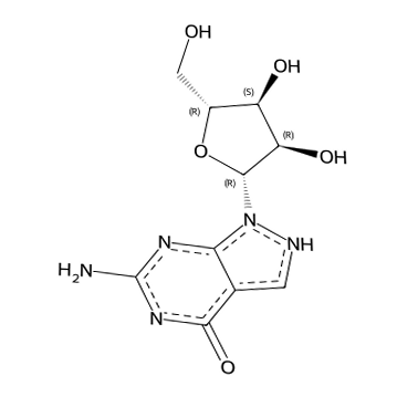 Nc1nc2n([C@@H]3O[C@H](CO)[C@@H](O)[C@H]3O)[nH]cc-2c(=O)n1